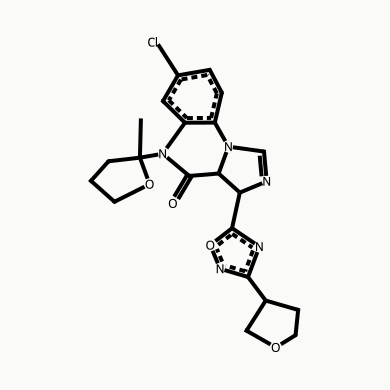 CC1(N2C(=O)C3C(c4nc(C5CCOC5)no4)N=CN3c3ccc(Cl)cc32)CCCO1